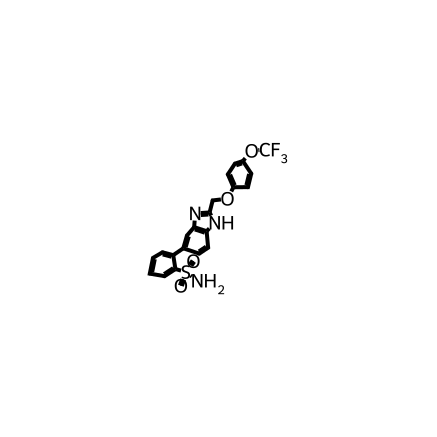 NS(=O)(=O)c1ccccc1-c1ccc2[nH]c(COc3ccc(OC(F)(F)F)cc3)nc2c1